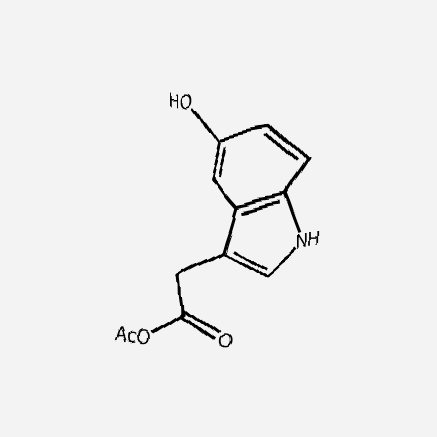 CC(=O)OC(=O)Cc1c[nH]c2ccc(O)cc12